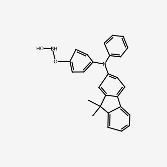 CC1(C)c2ccccc2-c2ccc(N(c3ccccc3)c3ccc(OBO)cc3)cc21